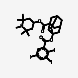 CN1C(C)(C)CC(OC(=O)C23CC4CC(CC(OC(=O)c5cc(I)cc(I)c5I)(C4)C2)C3)CC1(C)C